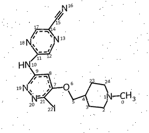 CN1CCC(COc2cc(Nc3cnc(C#N)cn3)nnc2I)CC1